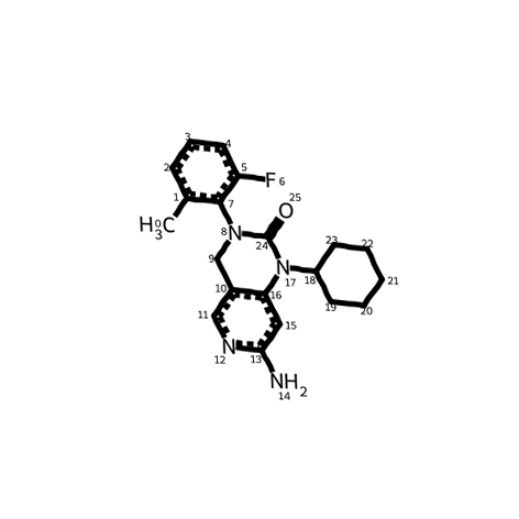 Cc1cccc(F)c1N1Cc2cnc(N)cc2N(C2CCCCC2)C1=O